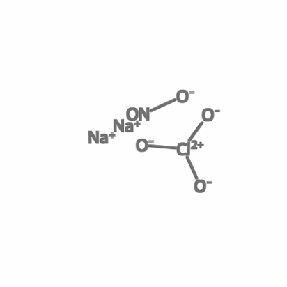 O=N[O-].[Na+].[Na+].[O-][Cl+2]([O-])[O-]